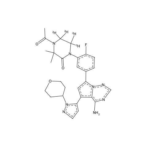 [2H]C1([2H])N(c2cc(-c3cc(-c4ccnn4C4CCOCC4)c4c(N)ncnn34)ccc2F)C(=O)C(C)(C)N(C(C)=O)C1([2H])[2H]